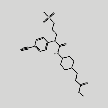 COC(=O)CCC1CCC(NC(=O)N(CCOS(C)(=O)=O)c2ccc(C#N)cc2)CC1